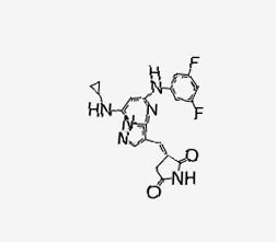 O=C1C/C(=C\c2cnn3c(NC4CC4)cc(Nc4cc(F)cc(F)c4)nc23)C(=O)N1